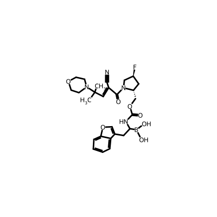 CC(C)(C=C(C#N)C(=O)N1C[C@@H](F)C[C@@H]1COC(=O)NC(Cc1coc2ccccc12)B(O)O)N1CCOCC1